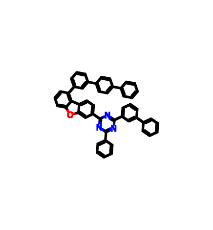 c1ccc(-c2ccc(-c3cccc(-c4cccc5oc6cc(-c7nc(-c8ccccc8)nc(-c8cccc(-c9ccccc9)c8)n7)ccc6c45)c3)cc2)cc1